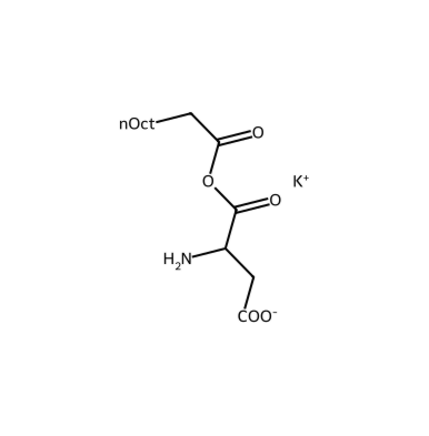 CCCCCCCCCC(=O)OC(=O)C(N)CC(=O)[O-].[K+]